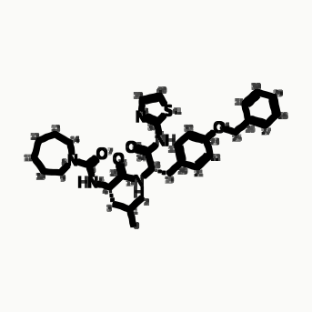 CC(C)C[C@H](NC(=O)N1CCCCCC1)C(=O)N[C@@H](Cc1ccc(OCc2ccccc2)cc1)C(=O)Nc1nccs1